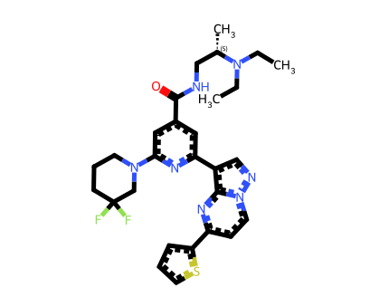 CCN(CC)[C@@H](C)CNC(=O)c1cc(-c2cnn3ccc(-c4cccs4)nc23)nc(N2CCCC(F)(F)C2)c1